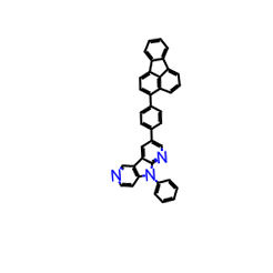 c1ccc(-n2c3ccncc3c3cc(-c4ccc(-c5ccc6c7c(cccc57)-c5ccccc5-6)cc4)cnc32)cc1